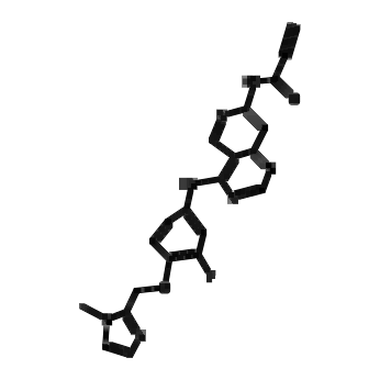 C#CC(=O)Nc1cc2ncnc(Nc3ccc(OCc4nccn4C)c(F)c3)c2cn1